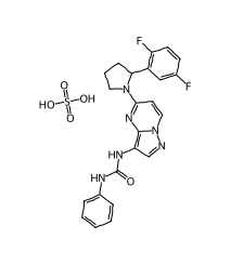 O=C(Nc1ccccc1)Nc1cnn2ccc(N3CCCC3c3cc(F)ccc3F)nc12.O=S(=O)(O)O